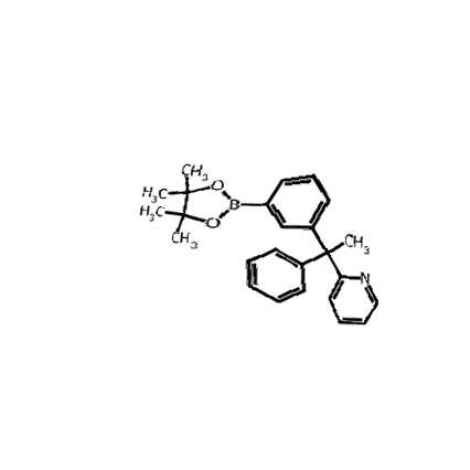 CC(c1ccccc1)(c1cccc(B2OC(C)(C)C(C)(C)O2)c1)c1ccccn1